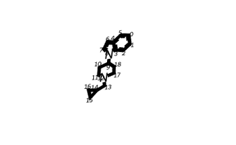 c1ccc2c(c1)ccn2C1CCN(CC2CC2)CC1